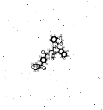 COc1ccccc1C(OC)N(CC(CNC(=O)c1ccc(C(=O)N2C3CCC2COC3)cc1)N=[N+]=[N-])C1Cc2ccccc2C1